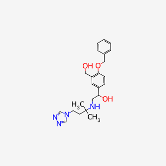 CC(C)(CCn1cnnc1)NCC(O)c1ccc(OCc2ccccc2)c(CO)c1